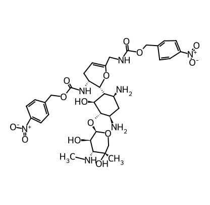 CN[C@@H]1[C@@H](O)[C@@H](O[C@H]2[C@H](N)C[C@H](N)C([C@H]3OC(CNC(=O)OCc4ccc([N+](=O)[O-])cc4)=CC[C@H]3NC(=O)OCc3ccc([N+](=O)[O-])cc3)[C@@H]2O)OC[C@]1(C)O